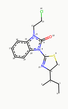 CCC(C)C1CSC(n2c(=O)n(CCCl)c3ccccc32)=N1